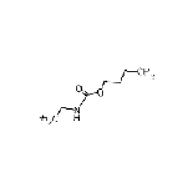 [CH2]CNC(=O)OCCCC